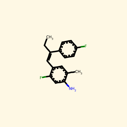 CC/C(=C/c1cc(C)c(N)cc1F)c1ccc(F)cc1